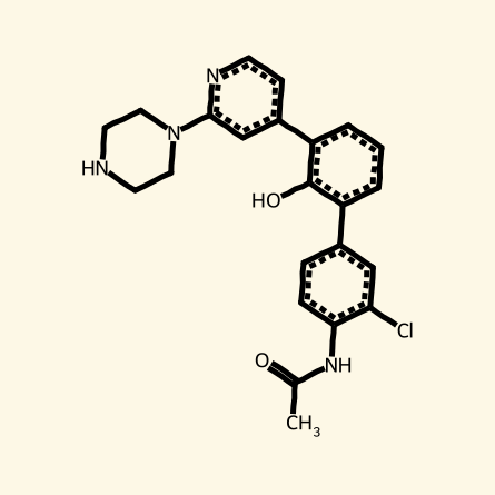 CC(=O)Nc1ccc(-c2cccc(-c3ccnc(N4CCNCC4)c3)c2O)cc1Cl